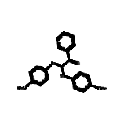 COc1ccc([Se]C([Se]c2ccc(OC)cc2)C(=O)c2ccccc2)cc1